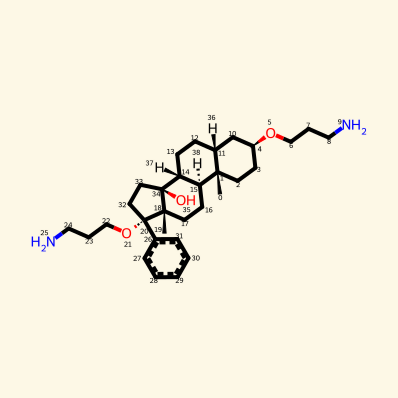 C[C@]12CC[C@H](OCCCN)C[C@H]1CC[C@@H]1[C@@H]2CC[C@]2(C)[C@@](OCCCN)(c3ccccc3)CC[C@]12O